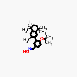 Cc1cc2c(cc1-c1cc(C=NO)ccc1OC(C)C)C(C)(C)CCC2(C)C